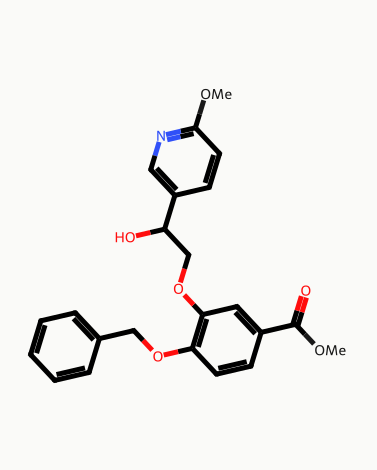 COC(=O)c1ccc(OCc2ccccc2)c(OCC(O)c2ccc(OC)nc2)c1